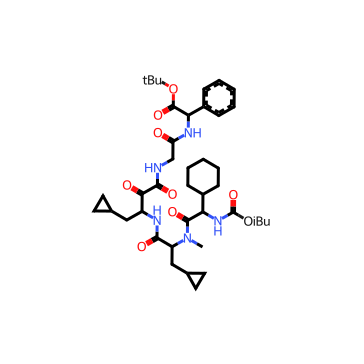 CC(C)COC(=O)NC(C(=O)N(C)C(CC1CC1)C(=O)NC(CC1CC1)C(=O)C(=O)NCC(=O)NC(C(=O)OC(C)(C)C)c1ccccc1)C1CCCCC1